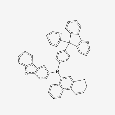 C1=Cc2c(cc(N(c3ccc(C4(c5ccccc5)c5ccccc5-c5ccccc54)cc3)c3ccc4oc5ccccc5c4c3)c3ccccc23)CC1